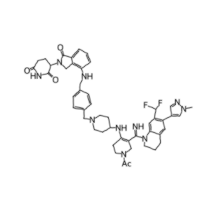 CC(=O)N1CCC(NC2CCN(Cc3ccc(CNc4cccc5c4CN(C4CCC(=O)NC4=O)C5=O)cc3)CC2)=C(C(=N)N2CCCc3cc(-c4cnn(C)c4)c(C(F)F)cc32)C1